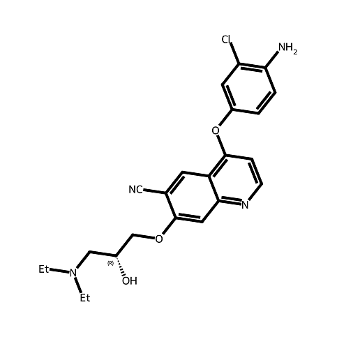 CCN(CC)C[C@@H](O)COc1cc2nccc(Oc3ccc(N)c(Cl)c3)c2cc1C#N